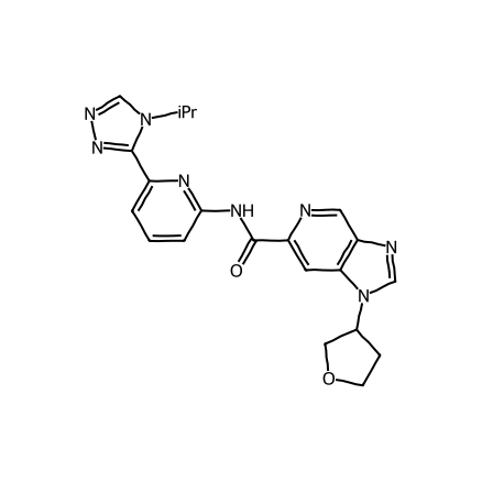 CC(C)n1cnnc1-c1cccc(NC(=O)c2cc3c(cn2)ncn3C2CCOC2)n1